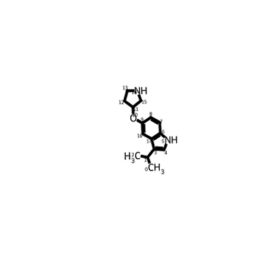 CC(C)c1c[nH]c2ccc(OC3CCNC3)cc12